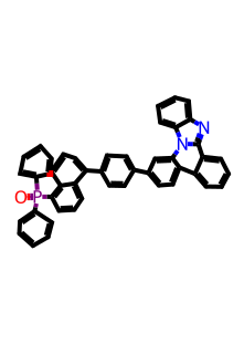 O=P(c1ccccc1)(c1ccccc1)c1cccc2c(-c3ccc(-c4ccc5c6ccccc6c6nc7ccccc7n6c5c4)cc3)cccc12